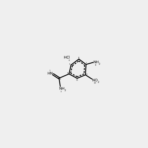 Cl.N=C(N)c1ccc(N)c([N+](=O)[O-])c1